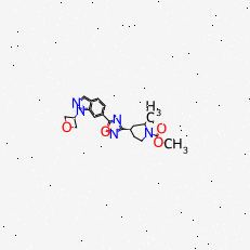 COC(=O)N1CC[C@@H](c2noc(-c3ccc4cnn(C5COC5)c4c3)n2)CC1C